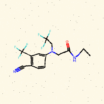 CCNC(=O)CN(CC(F)(F)F)c1ccc(C#N)c(C(F)(F)F)c1